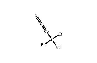 CC[Si](CC)(CC)[Co]=[C]=O